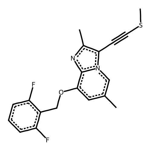 CSC#Cc1c(C)nc2c(OCc3c(F)cccc3F)cc(C)cn12